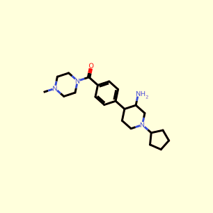 CN1CCN(C(=O)c2ccc(C3CCN(C4CCCC4)CC3N)cc2)CC1